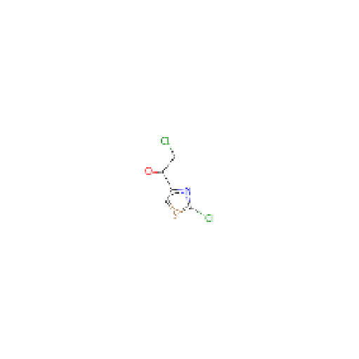 O=C(CCl)c1csc(Cl)n1